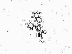 CCCNC(=O)c1cc(-c2ccc3ccccc3c2)n(-c2ccccn2)n1